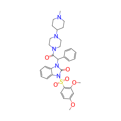 COc1ccc(S(=O)(=O)n2c(=O)n(C(C(=O)N3CCN(C4CCN(C)CC4)CC3)c3ccccc3)c3ccccc32)c(OC)c1